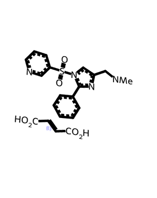 CNCc1cn(S(=O)(=O)c2cccnc2)c(-c2ccccc2)n1.O=C(O)/C=C/C(=O)O